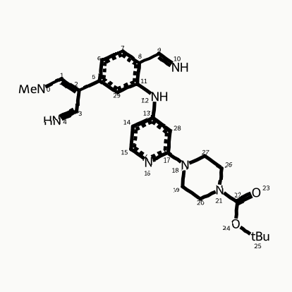 CN/C=C(\C=N)c1ccc(C=N)c(Nc2ccnc(N3CCN(C(=O)OC(C)(C)C)CC3)c2)c1